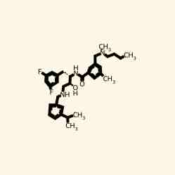 CCCCN(C)Cc1cc(C)cc(C(=O)N[C@@H](Cc2cc(F)cc(F)c2)[C@@H](O)CNCc2cccc(C(C)C)c2)c1